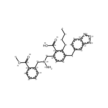 CCCCc1c(Cc2ccc3nsnc3c2)ccc(CN(N)Cc2ccccc2C(=O)OC)c1C(=O)O